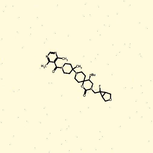 CCCC[C@H]1CN(CC2(F)C3COCC32)C(=O)OC12CCN(C1(C)CCN(C(=O)c3c(C)ncnc3C)CC1)CC2